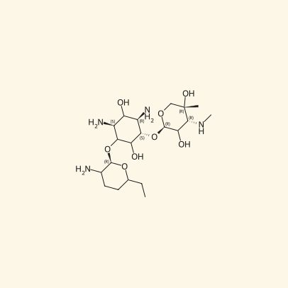 CCC1CCC(N)[C@@H](OC2C(O)[C@@H](O[C@H]3OC[C@](C)(O)[C@H](NC)C3O)[C@H](N)C(O)[C@@H]2N)O1